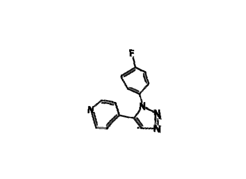 Fc1ccc(-n2nn[c]c2-c2ccncc2)cc1